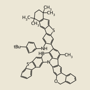 Cc1cc(-c2cc3sc4cc5c(cc4c3cc2Nc2ccc(C(C)(C)C)cc2)C(C)(C)CCC5(C)C)c2c3c1c1cc4c(cc1n3-c1cc3c(cc1B2)sc1ccccc13)OCc1ccccc1-4